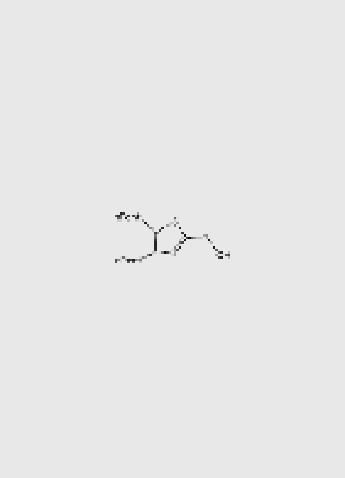 CCCCCc1cc(CO)sc1CCCCC